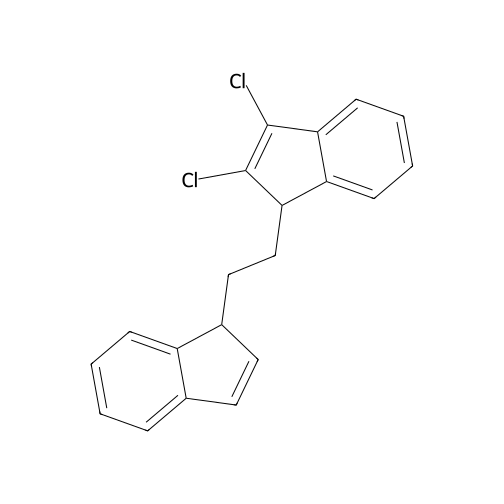 ClC1=C(Cl)C(CCC2C=Cc3ccccc32)c2ccccc21